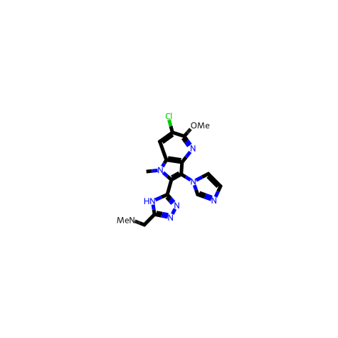 CNCc1nnc(-c2c(-n3ccnc3)c3nc(OC)c(Cl)cc3n2C)[nH]1